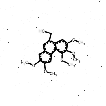 COc1cc2cc(CO)c3cc(OC)c(OC)c(OC)c3c2cc1OC